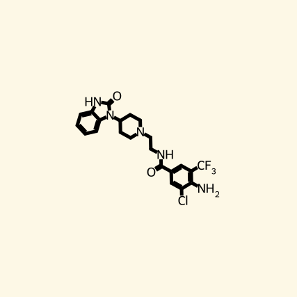 Nc1c(Cl)cc(C(=O)NCCN2CCC(n3c(=O)[nH]c4ccccc43)CC2)cc1C(F)(F)F